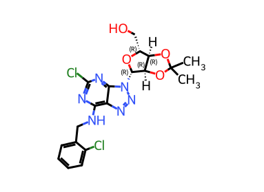 CC1(C)O[C@@H]2[C@H](O1)[C@@H](CO)O[C@H]2n1nnc2c(NCc3ccccc3Cl)nc(Cl)nc21